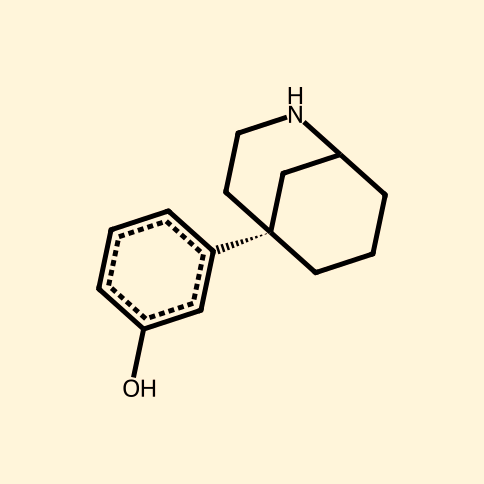 Oc1cccc([C@@]23CCCC(C2)NCC3)c1